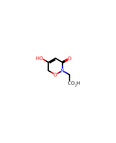 O=C(O)CN1OCC(O)=CC1=O